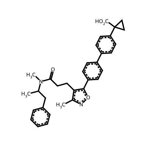 Cc1noc(-c2ccc(-c3ccc(C4(C(=O)O)CC4)cc3)cc2)c1CCC(=O)N(C)C(C)Cc1ccccc1